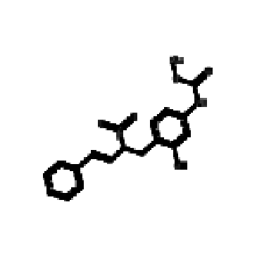 CC(C)(C)OC(=O)Nc1ccc(CC(C=Cc2ccccc2)[SH](=O)=O)c(O)c1